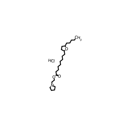 CCCCCC1CCC(CCCCCCCCC(=O)OCCN2CCCC2)O1.Cl